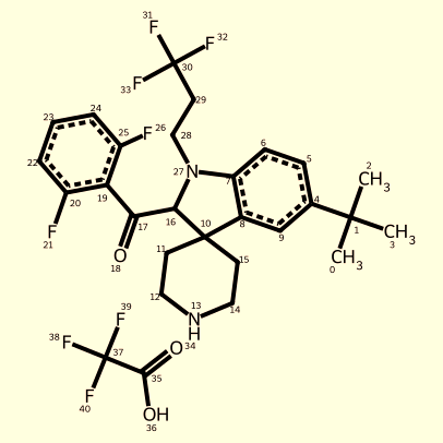 CC(C)(C)c1ccc2c(c1)C1(CCNCC1)C(C(=O)c1c(F)cccc1F)N2CCC(F)(F)F.O=C(O)C(F)(F)F